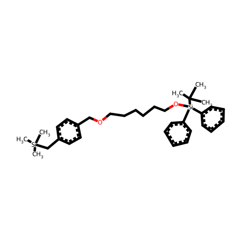 CC(C)(C)[Si](OCCCCCCOCc1ccc(C[Si](C)(C)C)cc1)(c1ccccc1)c1ccccc1